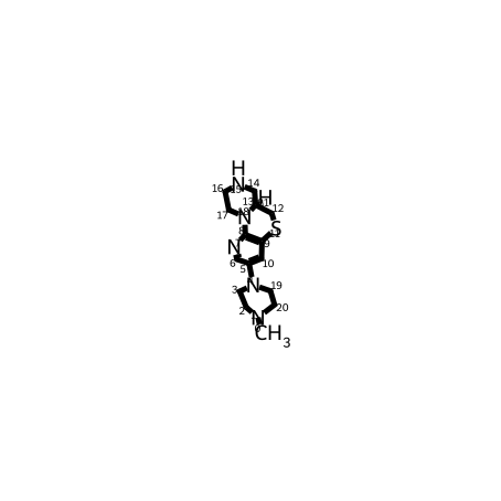 CN1CCN(c2cnc3c(c2)SC[C@@H]2CNCCN32)CC1